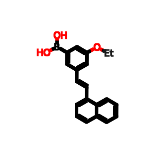 CCOc1cc(/C=C/c2cccc3ccccc23)cc(B(O)O)c1